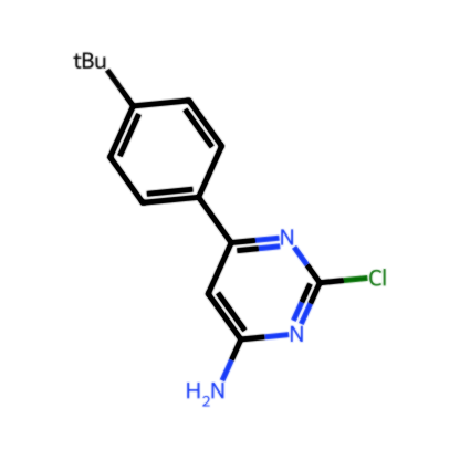 CC(C)(C)c1ccc(-c2cc(N)nc(Cl)n2)cc1